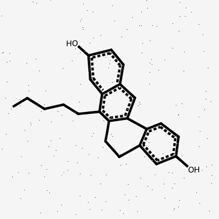 CCCCCc1c2c(cc3ccc(O)cc13)-c1ccc(O)cc1CC2